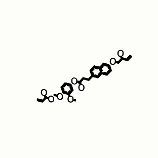 C=CC(=O)COc1ccc2cc(CCC(=O)Oc3ccc(OCOC(=O)C=C)c(OC)c3)ccc2c1